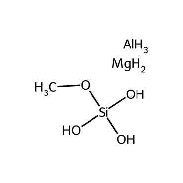 CO[Si](O)(O)O.[AlH3].[MgH2]